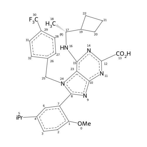 COc1ccc(C(C)C)cc1-c1nc2nc(C(=O)O)nc(N[C@H](C)C3CCC3)c2n1Cc1ccc(C(F)(F)F)cc1